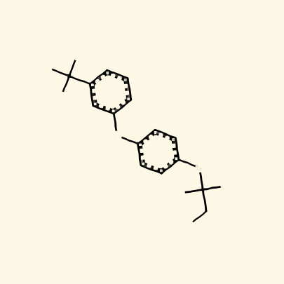 CCC(C)(C)Nc1ccc(Oc2cccc(C(F)(F)F)c2)cc1